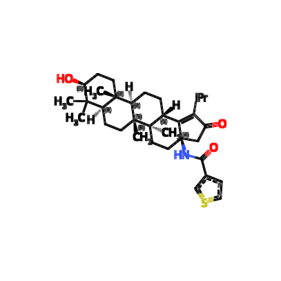 CC(C)C1=C2[C@H]3CC[C@@H]4[C@@]5(C)CC[C@H](O)C(C)(C)[C@@H]5CC[C@@]4(C)[C@]3(C)CC[C@@]2(NC(=O)c2ccsc2)CC1=O